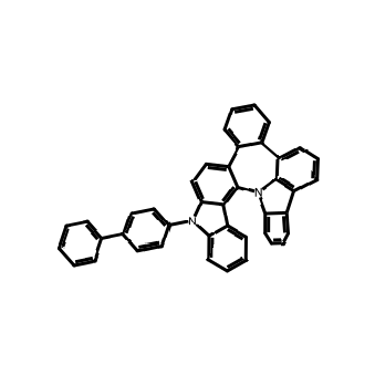 c1ccc(-c2ccc(-n3c4ccccc4c4c5c(ccc43)-c3ccccc3-c3cccc4c6ccccc6n-5c34)cc2)cc1